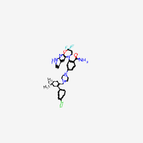 CC1(C)CCC(CN2CCN(c3ccc(C(N)=O)c(N4CCC(F)(F)Oc5nc6[nH]ccc6cc54)c3)CC2)=C(c2ccc(Cl)cc2)C1